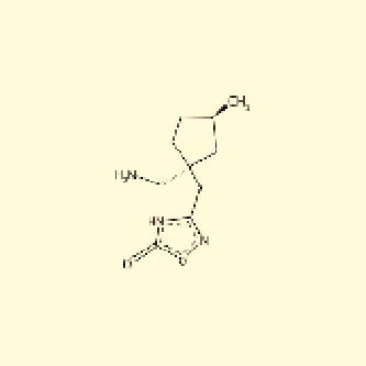 C[C@@H]1CC[C@](CN)(Cc2noc(=O)[nH]2)C1